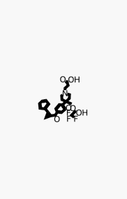 O=C(O)C(F)(F)F.O=C(O)CCN1CCC2(CC1)COc1cc(C(=O)C3CC3c3ccccc3)ccc12